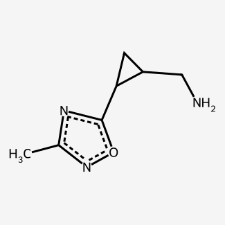 Cc1noc(C2CC2CN)n1